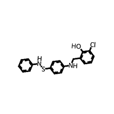 Oc1c(Cl)cccc1CNc1ccc(SNc2ccccc2)cc1